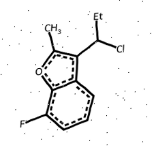 CCC(Cl)c1c(C)oc2c(F)cccc12